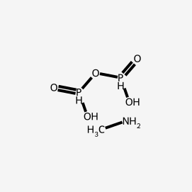 CN.O=[PH](O)O[PH](=O)O